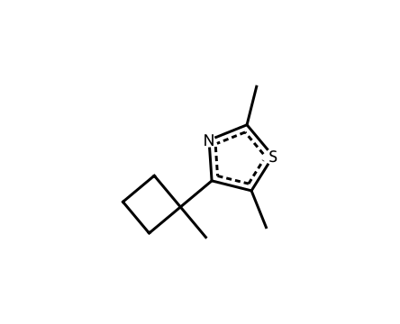 Cc1nc(C2(C)CCC2)c(C)s1